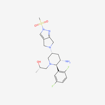 C[C@H](O)CN1C[C@H](N2Cc3cn(S(C)(=O)=O)nc3C2)C[C@H](N)[C@H]1c1cc(F)ccc1F